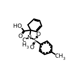 Cc1ccc(S(=O)(=O)N(C)C2(C(=O)O)C=CC=CC2)cc1